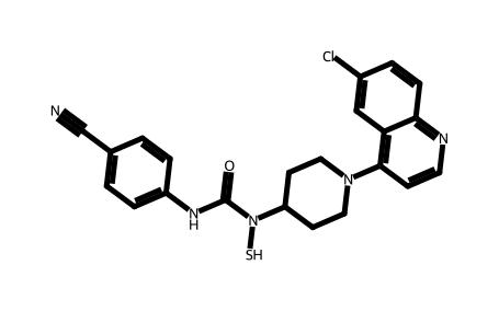 N#Cc1ccc(NC(=O)N(S)C2CCN(c3ccnc4ccc(Cl)cc34)CC2)cc1